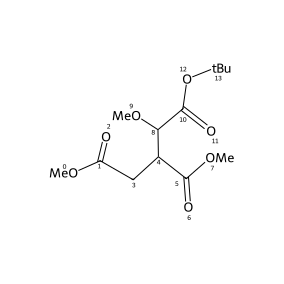 COC(=O)CC(C(=O)OC)C(OC)C(=O)OC(C)(C)C